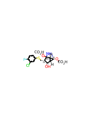 N[C@@]1(OC(=O)O)[C@@H]2[C@H](OC(=O)O)[C@H]2[C@H](O)[C@@H]1CSc1ccc(F)c(Cl)c1